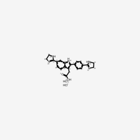 Cl.Cl.O=C(O)Cc1c(-c2ccc(C3=NCCN3)cc2)[nH]c2cc(C3=NCCN3)ccc12